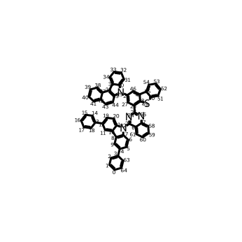 c1ccc(-c2ccc3c(c2)c2cc(-c4ccccc4)ccc2n3-c2nc(-c3cc(-n4c5ccccc5c5c6ccccc6ccc54)cc4c3sc3ccccc34)nc3ccccc23)cc1